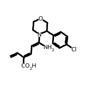 C=C/C(=C\C=C(/N)N1CCOCC1c1ccc(Cl)cc1)C(=O)O